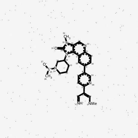 CN/C=C(\C=N)c1ccc(-c2ccc3ncc4c(c3c2)n(C2CCCN([S+](C)[O-])C2)c(=O)n4C)cn1